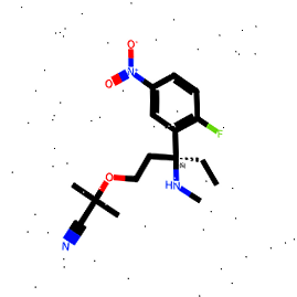 CC[C@@](CCOC(C)(C)C#N)(NC)c1cc([N+](=O)[O-])ccc1F